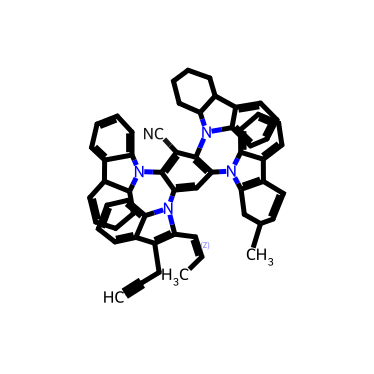 C#CCc1c(/C=C\C)n(-c2cc(-n3c4c(c5ccccc53)C=CC(C)C4)c(N3c4ccccc4C4CCCCC43)c(C#N)c2N2c3ccccc3C3C=CCCC32)c2ccccc12